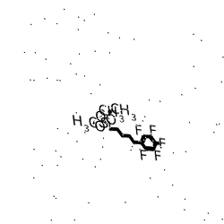 CCO[Si](CCCCCc1c(F)c(F)c(F)c(F)c1F)(OC)OC